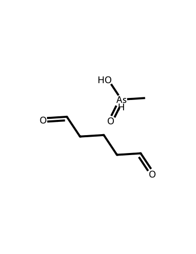 C[AsH](=O)O.O=CCCCC=O